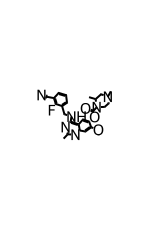 COc1cc2nc(C)nc(NCc3cccc(C#N)c3F)c2cc1OC(=O)N1CCN(C)CC1C